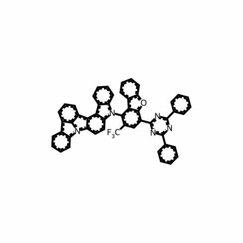 FC(F)(F)c1cc(-c2nc(-c3ccccc3)nc(-c3ccccc3)n2)c2oc3ccccc3c2c1-n1c2ccccc2c2c3c4cccc5c6ccccc6n(c3ccc21)c54